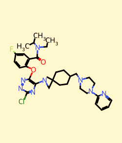 CCN(C(=O)c1cc(F)ccc1Oc1nnc(Cl)nc1N1CC2(CCC(CN3CCN(c4ccccn4)CC3)CC2)C1)C(C)C